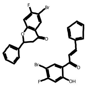 O=C(/C=C/c1ccccc1)c1cc(Br)c(F)cc1O.O=C1CC(c2ccccc2)Oc2cc(F)c(Br)cc21